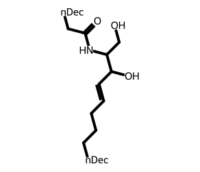 CCCCCCCCCCCCCC=CC(O)C(CO)NC(=O)CCCCCCCCCCC